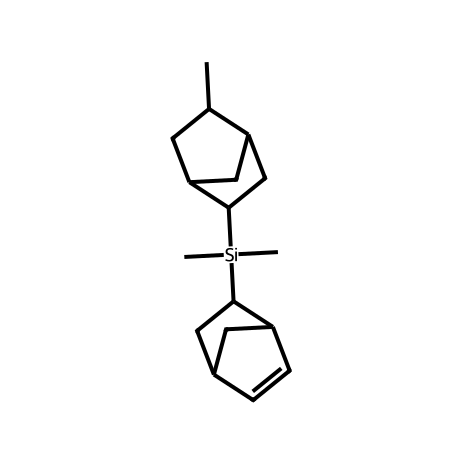 CC1CC2CC1CC2[Si](C)(C)C1CC2C=CC1C2